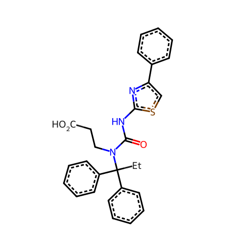 CCC(c1ccccc1)(c1ccccc1)N(CCC(=O)O)C(=O)Nc1nc(-c2ccccc2)cs1